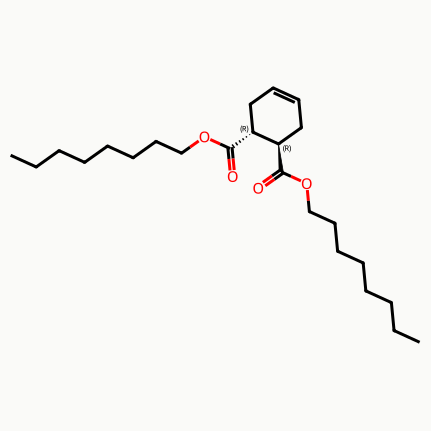 CCCCCCCCOC(=O)[C@@H]1CC=CC[C@H]1C(=O)OCCCCCCCC